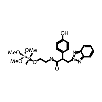 CO[Si](OC)(OC)[Si](C)(C)OCC[N]C(=O)C(Cn1nc2ccccc2n1)c1ccc(O)cc1